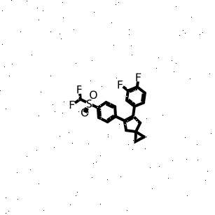 O=S(=O)(c1ccc(C2=C(c3ccc(F)c(F)c3)CC3(CC3)C2)cc1)C(F)F